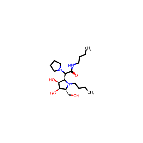 CCCCNC(=O)C([C@@H]1[C@H](O)[C@H](O)[C@@H](CO)N1CCCC)N1CCCC1